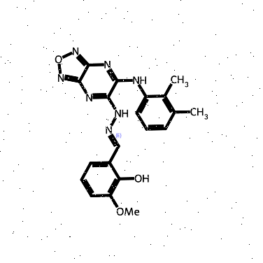 COc1cccc(/C=N/Nc2nc3nonc3nc2Nc2cccc(C)c2C)c1O